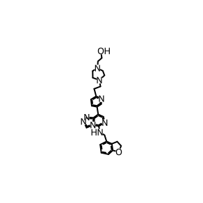 OCCN1CCN(CCc2ccc(-c3cnc(NCc4cccc5c4CCO5)n4cnnc34)cn2)CC1